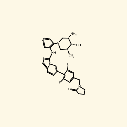 C[C@H]1CN(c2ccncc2Nc2ncc3ccc(-c4c(F)cc(CN5CCCC5=O)cc4F)nn23)C[C@@H](N)[C@@H]1O